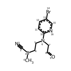 CB(C#N)CCN(CC=O)c1ccc(Br)cn1